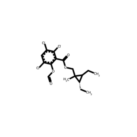 CCC1[C@H](CC)C1(C)COC(=O)c1c(Cl)c(Cl)cc(Cl)c1OC=O